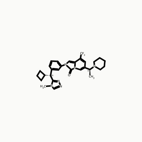 C[C@@H](c1cc(C(F)(F)F)c2cn(-c3cccc([C@H](c4nncn4C)C4CCC4)c3)c(=O)n2c1)N1CCCCC1